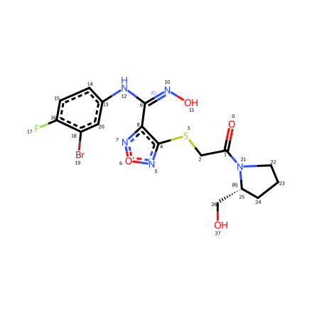 O=C(CSc1nonc1/C(=N\O)Nc1ccc(F)c(Br)c1)N1CCC[C@@H]1CO